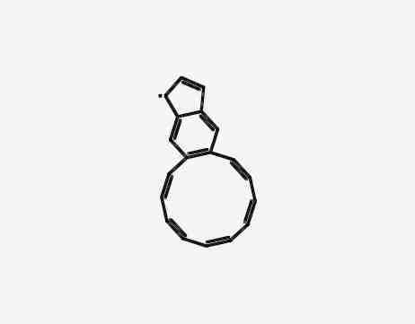 [CH]1C=Cc2cc3c(cc21)\C=C/C=C\C=C/C=C\C=C/3